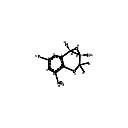 CC1(C)Oc2c(cc(F)cc2[N+](=O)[O-])[C@H]2O[C@H]21